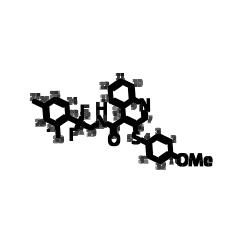 COc1ccc(Sc2cnc3ccccc3c2C(=O)NCC(F)(F)c2ccc(C)cc2C)cc1